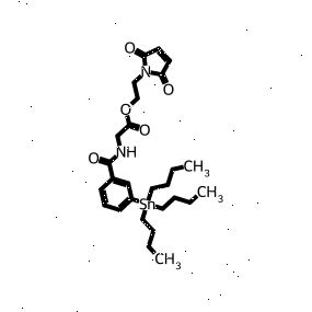 CCC[CH2][Sn]([CH2]CCC)([CH2]CCC)[c]1cccc(C(=O)NCC(=O)OCCN2C(=O)C=CC2=O)c1